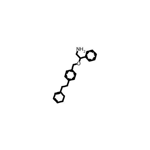 NCC(OCc1ccc(CCC2=CC=CCC2)cc1)c1ccccc1